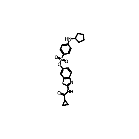 O=C(Nc1nc2ccc(OS(=O)(=O)c3ccc(NC4CCCC4)cc3)cc2s1)C1CC1